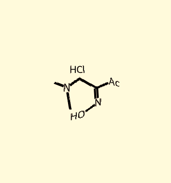 CC(=O)C(CN(C)C)=NO.Cl